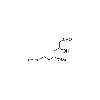 CCCCCCCCCC(C[C@H](O)CC=O)OC